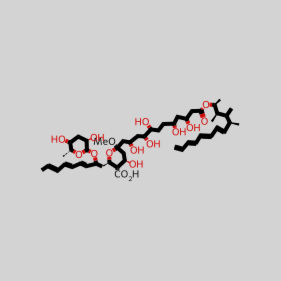 C=C/C=C/C=C/C=C/[C@H](C)C(C)[C@@H](C)[C@H](C)OC(=O)CC(O)CC(O)CCC(O)C(O)CC(O)CC1(OC)C[C@H](O)C(C(=O)O)[C@H](CC(/C=C/C=C/C=C/C)OC2O[C@H](C)C(O)C[C@@H]2O)O1